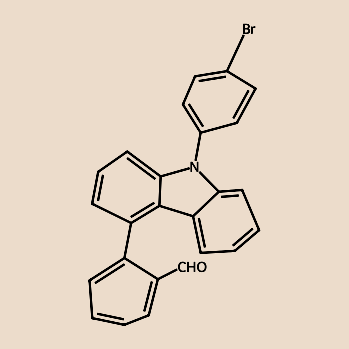 O=Cc1ccccc1-c1cccc2c1c1ccccc1n2-c1ccc(Br)cc1